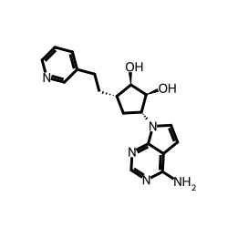 Nc1ncnc2c1ccn2[C@@H]1C[C@H](CCc2cccnc2)[C@@H](O)[C@H]1O